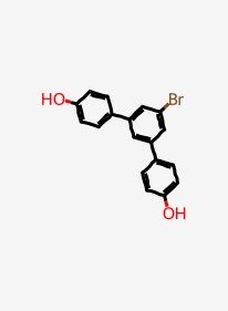 Oc1ccc(-c2cc(Br)cc(-c3ccc(O)cc3)c2)cc1